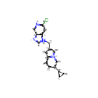 Clc1cc2c(cn1)ncn2Cc1cc2ccc(C3CC3)cn2c1